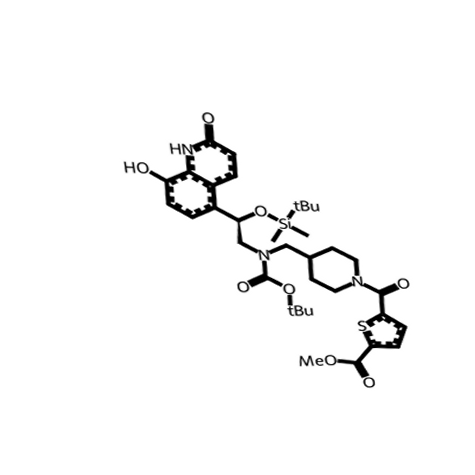 COC(=O)c1ccc(C(=O)N2CCC(CN(C[C@H](O[Si](C)(C)C(C)(C)C)c3ccc(O)c4[nH]c(=O)ccc34)C(=O)OC(C)(C)C)CC2)s1